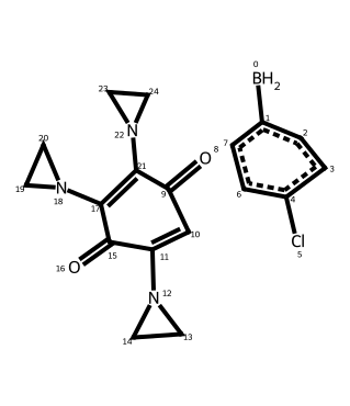 Bc1ccc(Cl)cc1.O=C1C=C(N2CC2)C(=O)C(N2CC2)=C1N1CC1